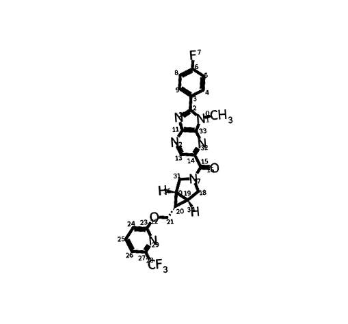 Cn1c(-c2ccc(F)cc2)nc2ncc(C(=O)N3C[C@@H]4[C@H](COc5cccc(C(F)(F)F)n5)[C@@H]4C3)nc21